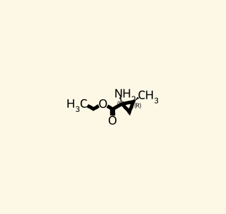 CCOC(=O)[C@]1(N)C[C@H]1C